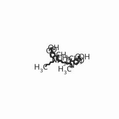 CCCCCN1/C(=C/C=C/C=C/C2=[N+](CC)c3ccc(S(=O)(=O)O)cc3C2(C)C)C(C)(C)c2cc(S(=O)(=O)O)ccc21